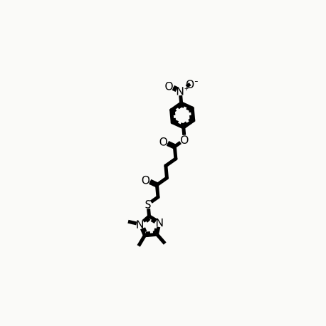 Cc1nc(SCC(=O)CCCC(=O)Oc2ccc([N+](=O)[O-])cc2)n(C)c1C